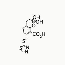 O=C(O)c1c(CSc2nncs2)ccc2c1O[B-](O)(O)CC2